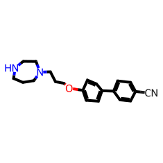 N#Cc1ccc(-c2ccc(OCCCN3CCCNCC3)cc2)cc1